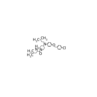 CC(C)CCN(c1ccc(OCc2ccc(Cl)cc2)cc1)C1CCN(C(=O)C(N)CC(C)C)CC1